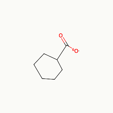 O=C([6O])C1CCCCC1